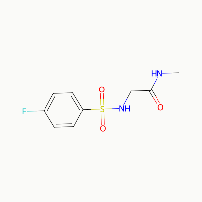 CNC(=O)CNS(=O)(=O)c1ccc(F)cc1